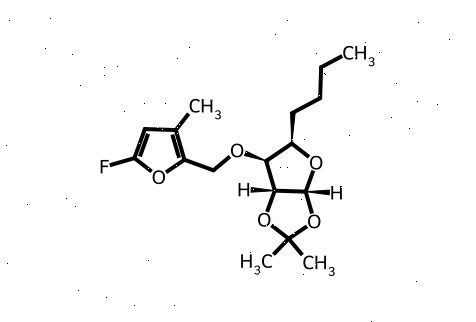 CCCC[C@H]1O[C@@H]2OC(C)(C)O[C@@H]2[C@H]1OCc1oc(F)cc1C